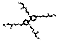 C=CC(=O)OCCOc1ccc(-c2ccc(OCCOC(=O)C=C)cc2OCCOC(=O)C=C)c(OCCOC(=O)C=C)c1